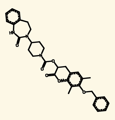 COC(=O)C(Cc1cc(C)c(OCc2ccccc2)c(C)c1)OC(=O)N1CCC(N2CCc3ccccc3NC2=O)CC1